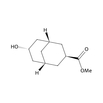 COC(=O)[C@H]1C[C@@H]2C[C@H](O)C[C@@H](C2)C1